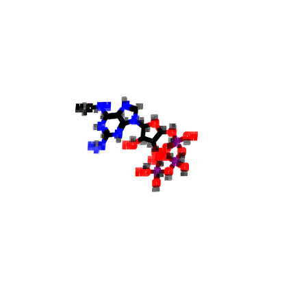 CNc1nc(N)nc2c1ncn2C1OC(OP(=O)(O)OP(=O)(O)OP(=O)(O)O)C(O)C1O